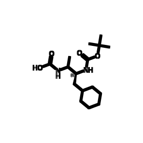 CC(NC(=O)O)[C@H](CC1CCCCC1)NC(=O)OC(C)(C)C